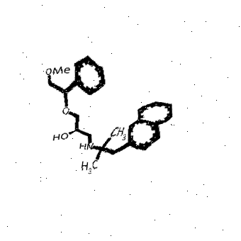 COCC(OC[C@H](O)CNC(C)(C)Cc1ccc2ccccc2c1)c1ccccc1